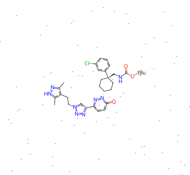 Cc1n[nH]c(C)c1CCn1cc(-c2ccc(=O)n([C@H]3CC[C@@](CNC(=O)OC(C)(C)C)(c4cccc(Cl)c4)CC3)n2)nn1